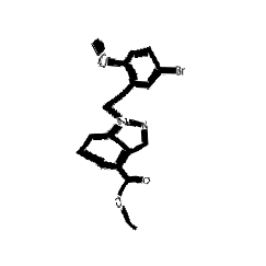 COC(=O)c1cccc2c1cnn2Cc1cc(Br)ccc1OC